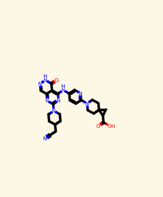 N#CCC1CCN(c2nc(Nc3ccc(N4CCC5(CC4)CC5C(=O)O)nc3)c3c(=O)[nH]ncc3n2)CC1